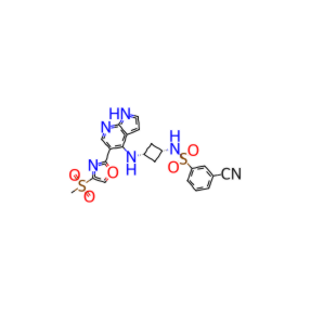 CS(=O)(=O)c1coc(-c2cnc3[nH]ccc3c2N[C@H]2C[C@@H](NS(=O)(=O)c3cccc(C#N)c3)C2)n1